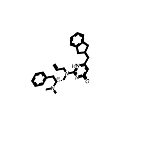 C=CCN(C[C@@H](Cc1ccccc1)N(C)C)c1nc(=O)cc(CC2Cc3ccccc3C2)[nH]1